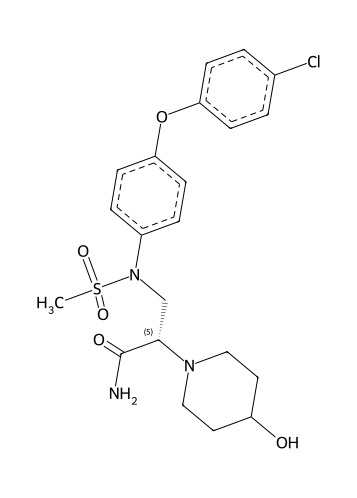 CS(=O)(=O)N(C[C@@H](C(N)=O)N1CCC(O)CC1)c1ccc(Oc2ccc(Cl)cc2)cc1